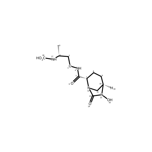 C[C@H](CONC(=O)[C@@H]1CC[C@@H]2CN1C(=O)N2O)NC(=O)O